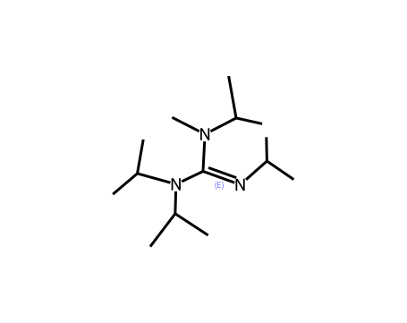 CC(C)/N=C(\N(C)C(C)C)N(C(C)C)C(C)C